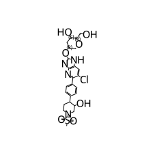 CS(=O)(=O)N1CCC(c2ccc(-c3nc4nc(O[C@H]5CO[C@H](CO)[C@@H](O)C5)[nH]c4cc3Cl)cc2)C(O)C1